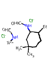 CCC1CCC(C)(C)CC1NC=O.O=C[NH][Ti+2].[Cl-].[Cl-]